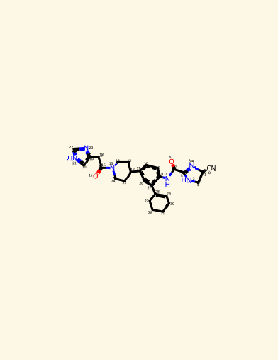 N#CC1CNC(C(=O)Nc2ccc(C3CCN(C(=O)Cc4c[nH]cn4)CC3)cc2C2=CCCCC2)=N1